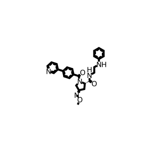 CO/N=C1\C[C@@H](C(=O)NCCNc2ccccc2)N(C(=O)c2ccc(-c3cccnc3)cc2)C1